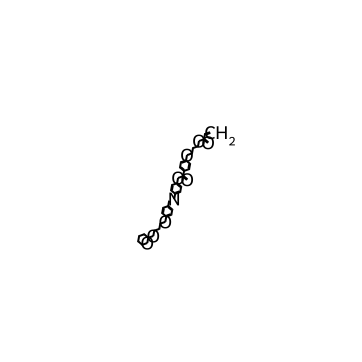 C=CC(=O)OCCCOc1ccc(C(=O)Oc2ccc(N=Cc3ccc(OCCCOC4CCCCO4)cc3)cc2)cc1